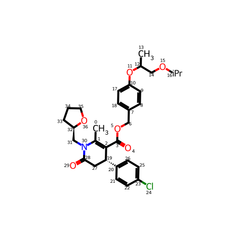 CC1=C(C(=O)OCc2ccc(OC(C)COC(C)C)cc2)[C@H](c2ccc(Cl)cc2)CC(=O)N1C[C@H]1CCCO1